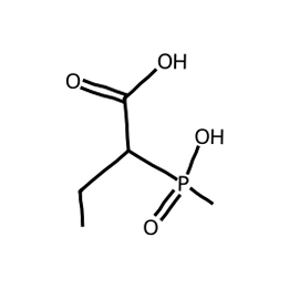 CCC(C(=O)O)P(C)(=O)O